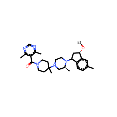 CCO[C@H]1CC(N2CCN(C3(C)CCN(C(=O)c4c(C)ncnc4C)CC3)C[C@@H]2C)c2ccc(C)cc21